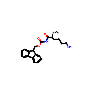 CN[C@@H](CCCCN)C(=O)NC(=O)OCC1c2ccccc2-c2ccccc21